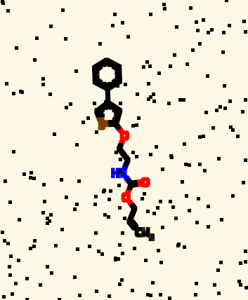 C=CCOC(=O)NCCOc1cc(-c2ccccc2)cs1